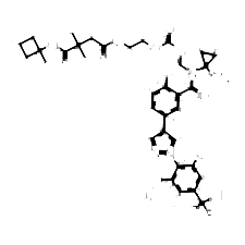 CC1(OC(=O)C(C)(C)CC(=O)OCCOC(=O)OCN(C(=O)c2cc(-c3cnn(-c4c(Cl)cc(C(F)(C(F)(F)F)C(F)(F)F)cc4OC(F)(F)F)c3)ccc2Cl)C2(C#N)CC2)CCC1